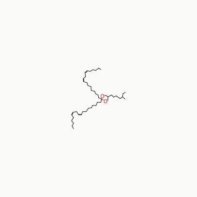 CCCCC/C=C\C/C=C\CCCCCCCCC1(CCCCCCCC/C=C\C/C=C\CCCCC)OCC(CCCCC(C)CC)CO1